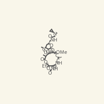 CC[C@H]1OC(=O)C(C)C(=O)[C@H](C)[C@@H](O[C@@H]2O[C@H](CNC(=O)CN(C)C3CC3)CC(N(C)C)C2O)[C@](C)(OC)C[C@@H](C)CN[C@H](C)[C@H]2NC(=O)O[C@@]21C